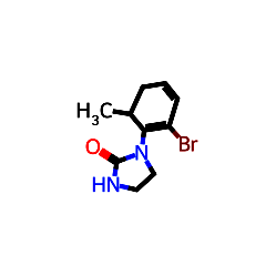 CC1CC=CC(Br)=C1N1CCNC1=O